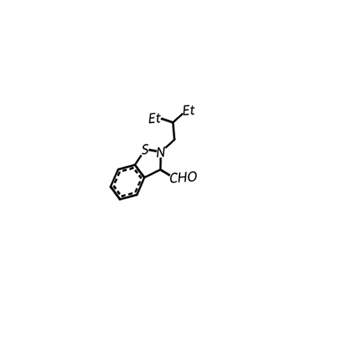 CCC(CC)CN1Sc2ccccc2C1C=O